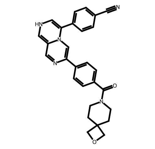 N#Cc1ccc(C2=CNC=C3C=NC(c4ccc(C(=O)N5CCC6(CC5)COC6)cc4)=CN32)cc1